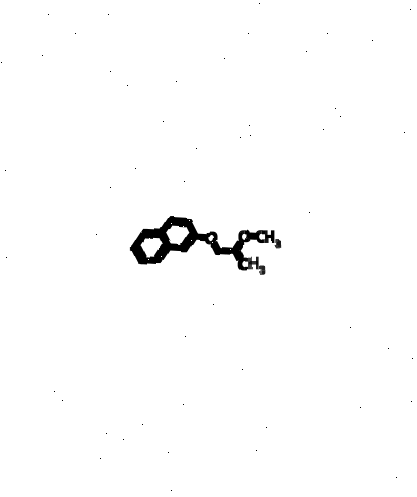 COC(C)COc1ccc2ccccc2c1